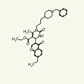 CCOC(=O)C1=C(C)N(CCCC2CCN(Cc3ccccc3)CC2)C(=O)NC1c1coc2cc(CC)ccc2c1=O